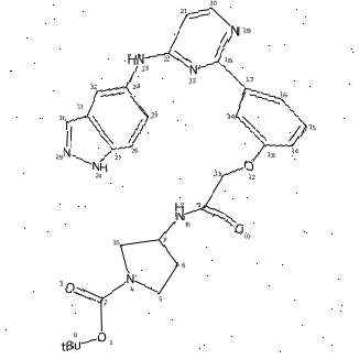 CC(C)(C)OC(=O)N1CCC(NC(=O)COc2cccc(-c3nccc(Nc4ccc5[nH]ncc5c4)n3)c2)C1